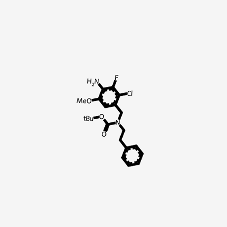 COc1cc(CN(CCc2ccccc2)C(=O)OC(C)(C)C)c(Cl)c(F)c1N